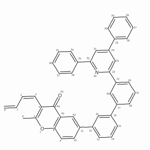 C=C/C=C\c1c(C)oc2ccc(-c3cccc(-c4cccc(-c5cc(-c6ccccc6)cc(-c6ccccc6)n5)c4)c3)cc2c1=O